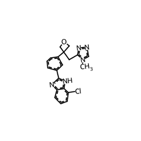 Cn1cnnc1CC1(c2cccc(-c3nc4cccc(Cl)c4[nH]3)c2)COC1